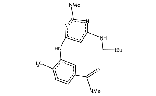 CNC(=O)c1ccc(C)c(Nc2cc(NCC(C)(C)C)nc(NC)n2)c1